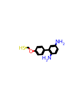 Nc1ccc(N)c(-c2ccc(OCS)cc2)c1